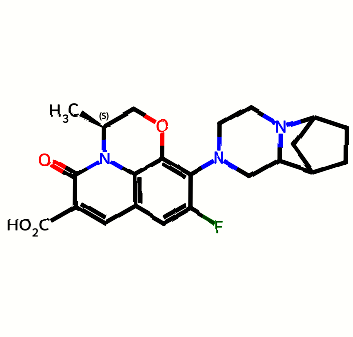 C[C@H]1COc2c(N3CCN4C5CCC(C5)C4C3)c(F)cc3cc(C(=O)O)c(=O)n1c23